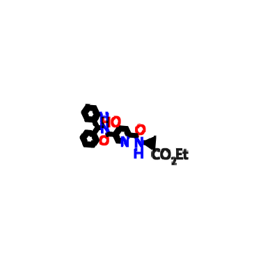 CCOC(=O)[C@@H]1CC1NC(=O)c1cc(O)c(C(=O)NC(c2ccccc2)c2ccccc2)cn1